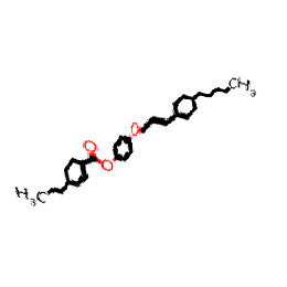 CCCCCC1CCC(C=CCOc2ccc(OC(=O)C3CCC(CCC)CC3)cc2)CC1